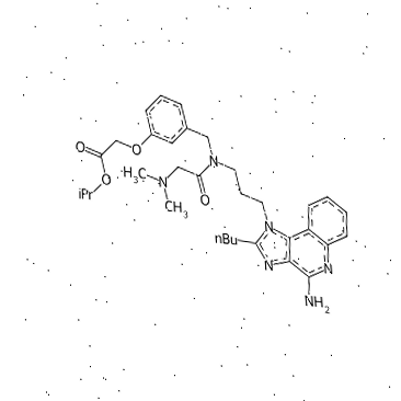 CCCCc1nc2c(N)nc3ccccc3c2n1CCCN(Cc1cccc(OCC(=O)OC(C)C)c1)C(=O)CN(C)C